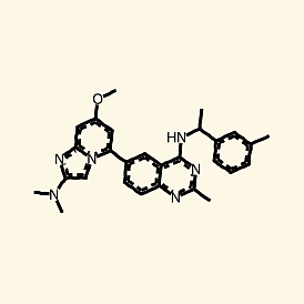 COc1cc(-c2ccc3nc(C)nc(NC(C)c4cccc(C)c4)c3c2)n2cc(N(C)C)nc2c1